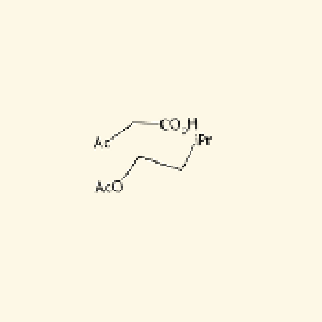 CC(=O)CC(=O)O.CC(=O)OCCC(C)C